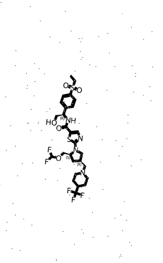 CCS(=O)(=O)c1ccc([C@H](CO)NC(=O)c2cnc(N3C[C@@H](CN4CCC(C(F)(F)F)CC4)C[C@H]3COC(F)F)s2)cc1